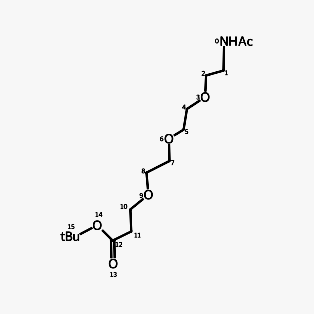 CC(=O)NCCOCCOCCOCCC(=O)OC(C)(C)C